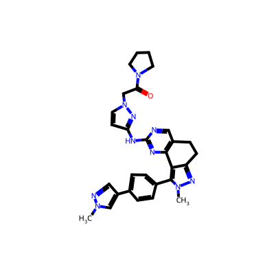 Cn1cc(-c2ccc(-c3c4c(nn3C)CCc3cnc(Nc5ccn(CC(=O)N6CCCC6)n5)nc3-4)cc2)cn1